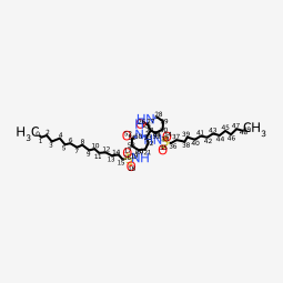 CCCCCCCCCCCCCCCCS(=O)(=O)N[C@H]1CCC(C2C(=O)NCCC[C@@H]2NS(=O)(=O)CCCCCCCCCCCCCC)NC(=O)C1